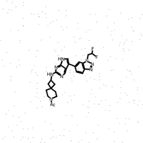 CC(=O)N1CCC2(CC1)CC(Nc1ncc3c(-c4ccc5nnn(CC(F)F)c5c4)c[nH]c3n1)C2